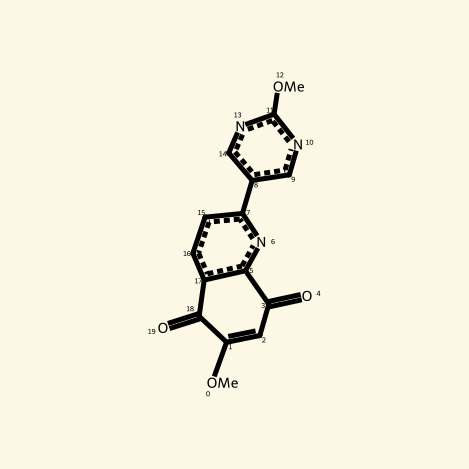 COC1=CC(=O)c2nc(-c3cnc(OC)nc3)ccc2C1=O